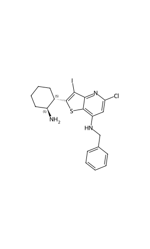 N[C@H]1CCCC[C@@H]1c1sc2c(NCc3ccccc3)cc(Cl)nc2c1I